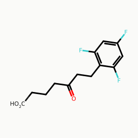 O=C(O)CCCC(=O)CCc1c(F)cc(F)cc1F